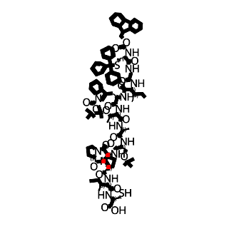 CC[C@H](C)[C@H](NC(=O)CNC(=O)[C@H](CSC(c1ccccc1)(c1ccccc1)c1ccccc1)NC(=O)OCC1c2ccccc2-c2ccccc21)C(=O)N[C@@H](Cc1cn(C(=O)OC(C)(C)C)c2ccccc12)C(=O)N[C@H](C(=O)N[C@@H](C)C(=O)N[C@@H](COC(C)(C)C)C(=O)N[C@H](C(=O)N1CCC[C@H]1C(=O)N1CCC[C@H]1C(=O)N[C@H](C(=O)N[C@@H](CS)C(=O)O)[C@@H](C)CC)[C@@H](C)CC)[C@@H](C)OC(C)(C)C